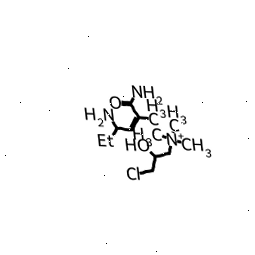 CCC(N)C=C(C)C(N)=O.C[N+](C)(C)CC(O)CCl